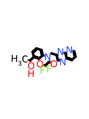 C[C@H](O)c1cccc2c1OC(F)(F)C(=O)N2Cc1cnc2cccnc2n1